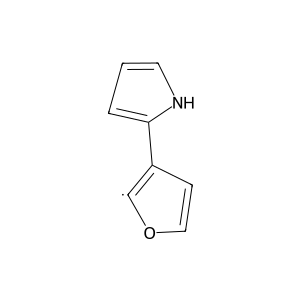 [c]1occc1-c1ccc[nH]1